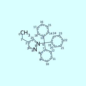 CCc1cnn(C(c2ccccc2)(c2ccccc2)c2ccccc2)c1